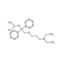 CCN(CC)CCCOCC(OC(C)C)(c1ccccc1)c1ccccc1